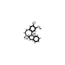 COc1cc2c(cc1Cl)CCN(C)[C@H]1Cc3ccccc3[C@H]21